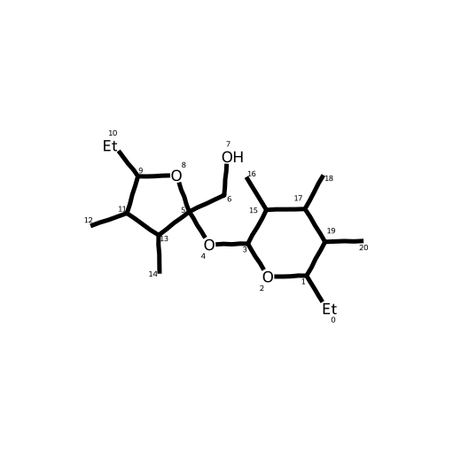 CCC1OC(OC2(CO)OC(CC)C(C)C2C)C(C)C(C)C1C